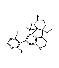 CCC12CCNCC1(C(C)(C)C)c1cc(-c3c(F)cccc3F)cc3c1N2CCS3